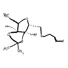 COC1O[C@H](CSCCF)[C@H]2OC(C)(C)O[C@@H]12